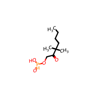 CCCCC(C)(C)C(=O)CO[PH](=O)O